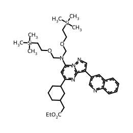 CCOC(=O)CC1CCCC(c2cc(N(COCC[Si](C)(C)C)COCC[Si](C)(C)C)n3ncc(-c4cnc5ccccc5c4)c3n2)C1